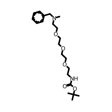 CN(CCOCCOCCOCCNC(=O)OC(C)(C)C)Cc1ccccc1